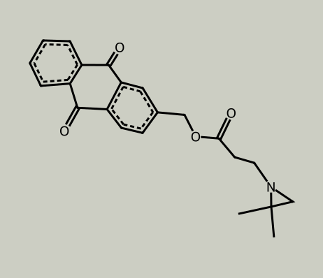 CC1(C)CN1CCC(=O)OCc1ccc2c(c1)C(=O)c1ccccc1C2=O